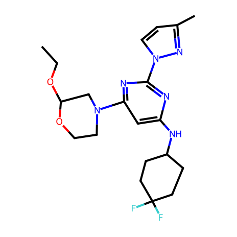 CCOC1CN(c2cc(NC3CCC(F)(F)CC3)nc(-n3ccc(C)n3)n2)CCO1